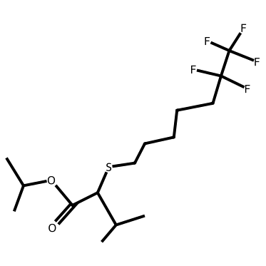 CC(C)OC(=O)C(SCCCCCC(F)(F)C(F)(F)F)C(C)C